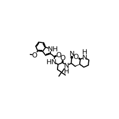 COc1cccc2[nH]c(C(=O)NC(CC(C)(C)C)C(=O)NC(C#N)C[C@@H]3CCCNC3=O)cc12